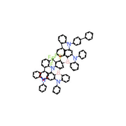 Fc1cccc(-c2ccccc2)c1N1c2cc(N(c3ccccc3)c3ccccc3)cc3c2B(c2ccccc2N3c2ccccc2)c2cc3c(c(C(F)(F)F)c21)Sc1cc(N(c2ccc(-c4ccccc4)cc2)c2ccccc2-c2ccccc2)cc2c1B3c1ccccc1N2c1ccccc1